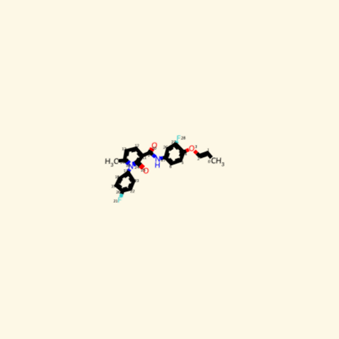 C/C=C/Oc1ccc(NC(=O)c2ccc(C)n(-c3ccc(F)cc3)c2=O)cc1F